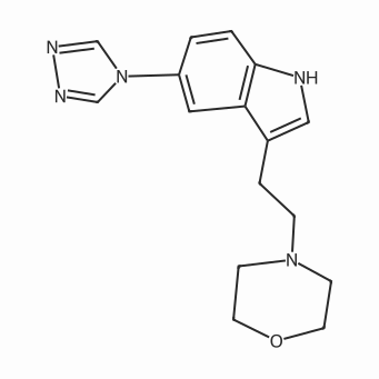 c1cc2[nH]cc(CCN3CCOCC3)c2cc1-n1cnnc1